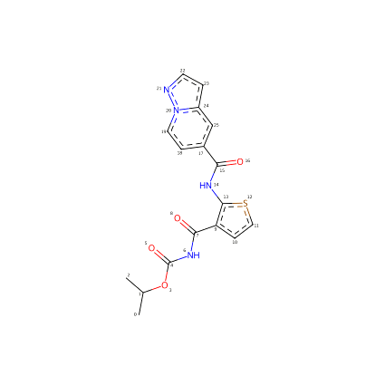 CC(C)OC(=O)NC(=O)c1ccsc1NC(=O)c1ccn2nccc2c1